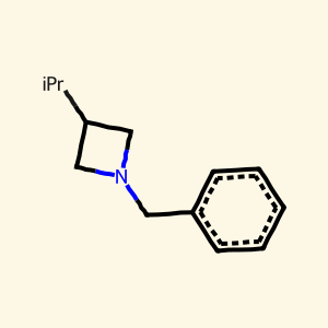 CC(C)C1CN(Cc2ccccc2)C1